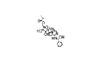 CN[C@@]1(c2ccc3c(NC(O)c4ccccc4)ncnn23)O[C@H](COC(=O)C(C)C)[C@@H](O)[C@H]1O